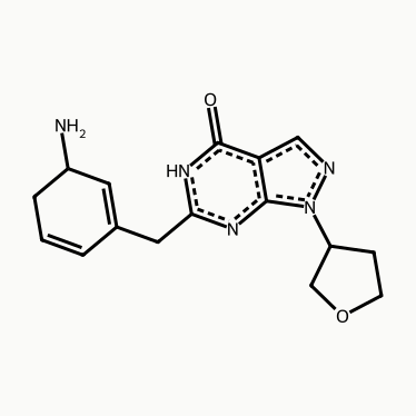 NC1C=C(Cc2nc3c(cnn3C3CCOC3)c(=O)[nH]2)C=CC1